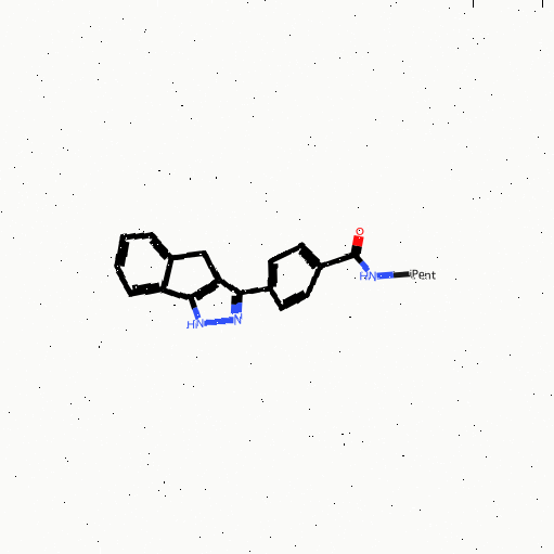 CCCC(C)NC(=O)c1ccc(-c2n[nH]c3c2Cc2ccccc2-3)cc1